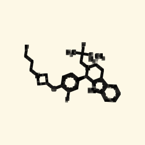 C[C@@H]1Cc2c([nH]c3ccccc23)[C@@H](c2ccc(OC3CN(CCCF)C3)c(F)c2)N1CC(C)(C)F